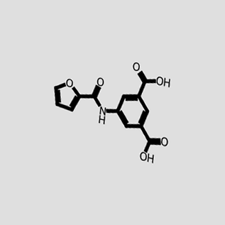 O=C(O)c1cc(NC(=O)c2ccco2)cc(C(=O)O)c1